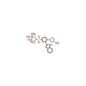 CN(CC(C)(C)O)S(=O)(=O)c1ccc(N2CC[C@H](O)C2)c(-c2cc3ccccc3[nH]2)c1